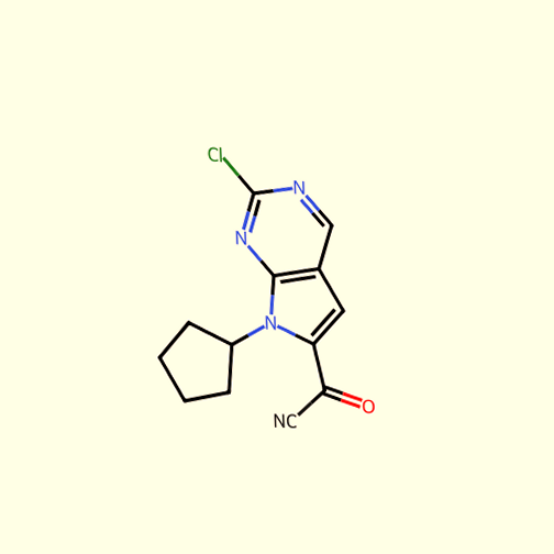 N#CC(=O)c1cc2cnc(Cl)nc2n1C1CCCC1